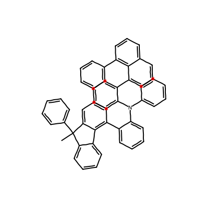 CC1(c2ccccc2)c2ccccc2-c2c(-c3ccccc3N(c3ccccc3)c3ccccc3-c3cccc4cccc(-c5ccccc5)c34)cccc21